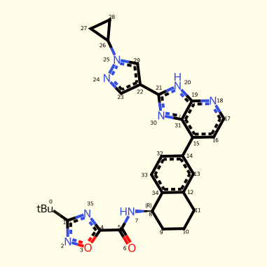 CC(C)(C)c1noc(C(=O)N[C@@H]2CCCc3cc(-c4ccnc5[nH]c(-c6cnn(C7CC7)c6)nc45)ccc32)n1